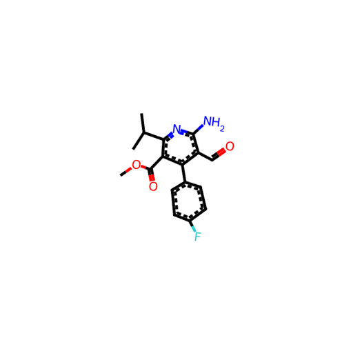 COC(=O)c1c(C(C)C)nc(N)c(C=O)c1-c1ccc(F)cc1